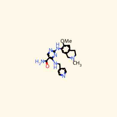 COc1cc2c(cc1Nc1ncc(C(N)=O)c(NCc3ccncc3)n1)CN(C)CC2